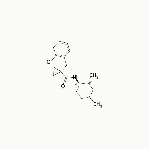 C[C@@H]1CN(C)CC[C@H]1NC(=O)C1(Cc2ccccc2Cl)CC1